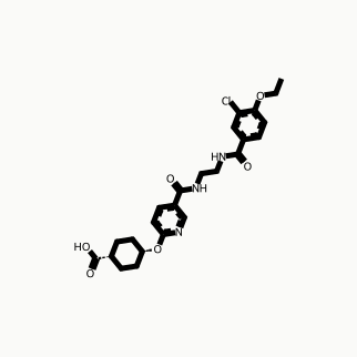 CCOc1ccc(C(=O)NCCNC(=O)c2ccc(O[C@H]3CC[C@@H](C(=O)O)CC3)nc2)cc1Cl